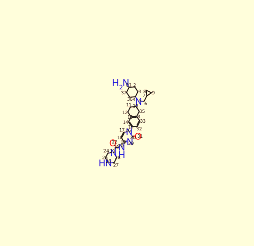 NC1CCC(N(CC2CC2)C2CCc3cc(-n4ccc(NC(=O)N5CCNCC5)nc4=O)ccc3C2)CC1